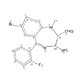 CN1c2ccc(Br)cc2C(c2ccccc2F)=NC(N)C1C=O